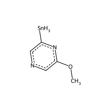 COc1cnc[c]([SnH3])n1